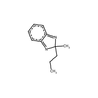 CCCC1(C)N=c2ccccc2=N1